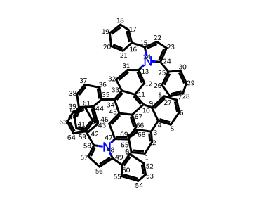 c1ccc(-c2ccccc2-c2c3cc(-n4c(-c5ccccc5)ccc4-c4ccccc4)ccc3c(-c3cccc4ccccc34)c3cc(-n4c(-c5ccccc5)ccc4-c4ccccc4)ccc23)cc1